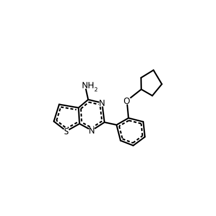 Nc1nc(-c2ccccc2OC2CCCC2)nc2sccc12